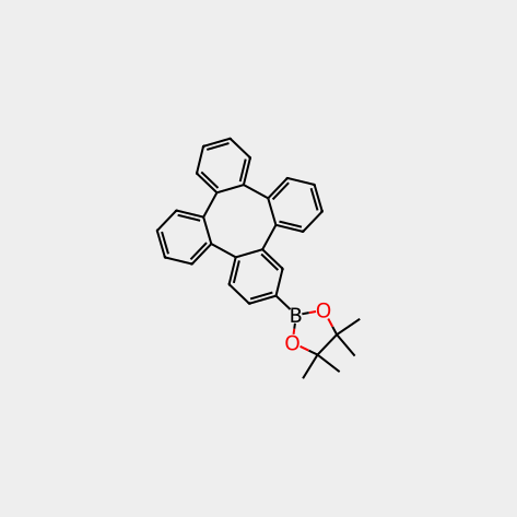 CC1(C)OB(c2ccc3c(c2)-c2ccccc2-c2ccccc2-c2ccccc2-3)OC1(C)C